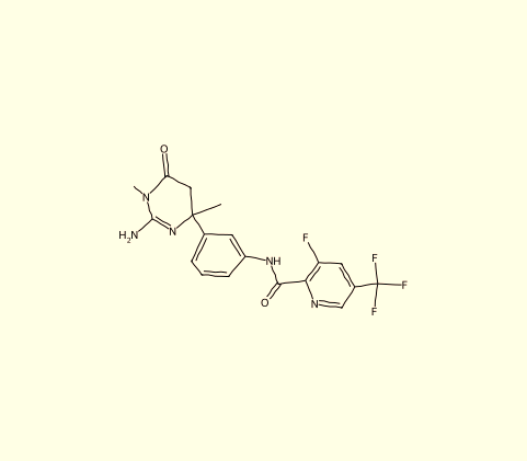 CN1C(=O)CC(C)(c2cccc(NC(=O)c3ncc(C(F)(F)F)cc3F)c2)N=C1N